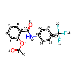 CC(=O)Oc1ccccc1C(=O)Nc1ccc(C(F)(F)F)cc1